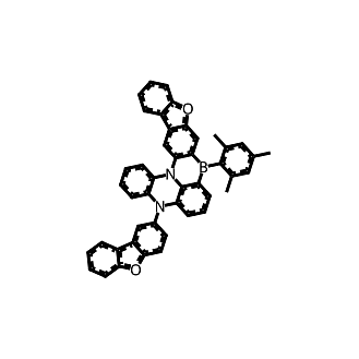 Cc1cc(C)c(B2c3cc4oc5ccccc5c4cc3N3c4ccccc4N(c4ccc5oc6ccccc6c5c4)c4cccc2c43)c(C)c1